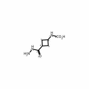 NNC(=O)C1CC(NC(=O)O)C1